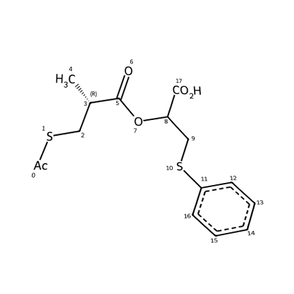 CC(=O)SC[C@H](C)C(=O)OC(CSc1ccccc1)C(=O)O